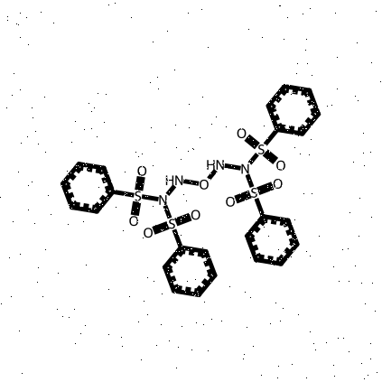 O=S(=O)(c1ccccc1)N(NONN(S(=O)(=O)c1ccccc1)S(=O)(=O)c1ccccc1)S(=O)(=O)c1ccccc1